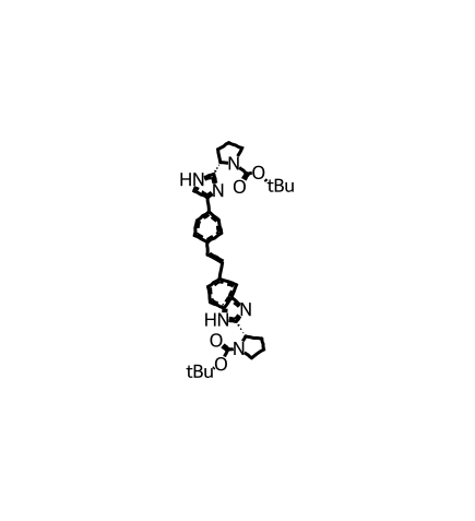 CC(C)(C)OC(=O)N1CCC[C@H]1c1nc(-c2ccc(/C=C/c3ccc4[nH]c([C@@H]5CCCN5C(=O)OC(C)(C)C)nc4c3)cc2)c[nH]1